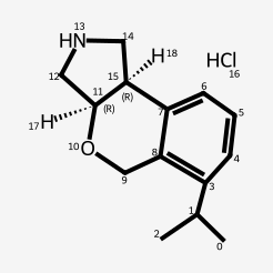 CC(C)c1cccc2c1CO[C@H]1CNC[C@@H]21.Cl